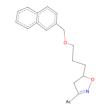 CC(=O)C1=NOC(CCCOCc2ccc3ccccc3c2)C1